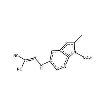 Cc1cc2cc(NN=C(C#N)C#N)cnc2n1C(=O)O